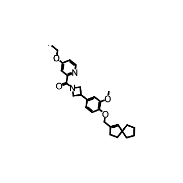 [CH2]COc1ccnc(C(=O)N2CC(c3ccc(OCC4=CC5(CCCC5)CC4)c(OC)c3)C2)c1